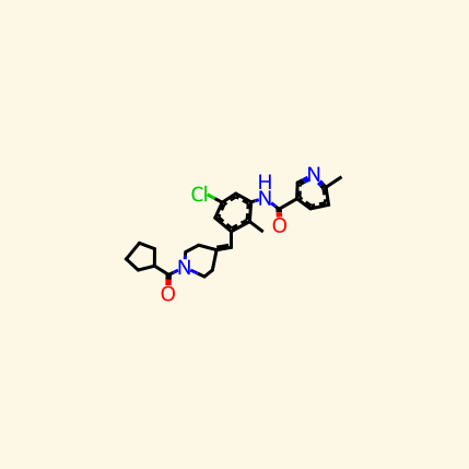 Cc1ccc(C(=O)Nc2cc(Cl)cc(C=C3CCN(C(=O)C4CCCC4)CC3)c2C)cn1